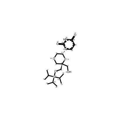 CC(C)[Si](OC[C@@]1(CO)COC[C@H](n2ccc(=O)[nH]c2=O)O1)(C(C)C)C(C)C